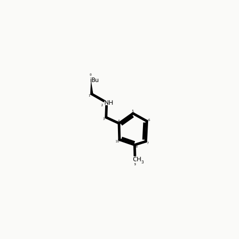 CC[C@H](C)CNCc1cccc(C)c1